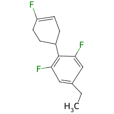 CCc1cc(F)c(C2CC=C(F)CC2)c(F)c1